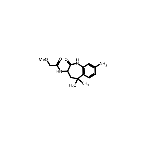 COCC(=O)NC1CC(C)(C)c2ccc(N)cc2NC1=O